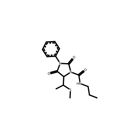 CCCNC(=O)N1C(=O)N(c2ccccc2)C(=O)C1C(C)SC